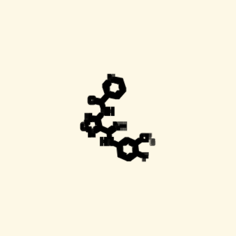 N=C(Nc1ccc(F)c(C(F)(F)F)c1)c1nonc1NC(=O)c1cccnc1